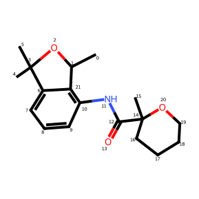 CC1OC(C)(C)c2cccc(NC(=O)C3(C)CCCCO3)c21